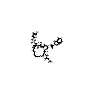 CC(C)(C)OC(=O)N[C@H]1CCCCC/C=C/[C@@H]2C[C@@]2(C(=O)NS(=O)(=O)c2ccc(Cl)s2)NC(=O)[C@@H]2C[C@@H](OC(=O)N3Cc4ccccc4C3)CN2C1=O